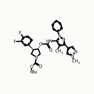 Cc1c(-c2cnn(C)c2)nn(-c2ccccc2)c1NC(=O)O[C@@H]1CN(C(=O)OC(C)(C)C)C[C@H]1c1ccc(F)c(F)c1